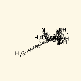 CCCCCCCCCCCCCCCCCCOC[C@H](COP(=O)(O)OC[C@@]1(C#N)OC(c2ccc3c(N)ncnn23)[C@H](O)[C@@H]1O)OCc1ccc(C#N)cc1OC